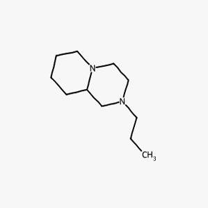 CCCN1CCN2CCCCC2C1